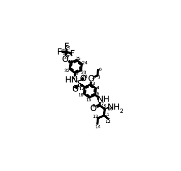 CCOc1cc(NC(=O)[C@@H](N)C(C)CC)ccc1S(=O)(=O)Nc1cccc(OC(F)(F)F)c1